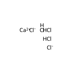 Cl.Cl.Cl.[Ca+2].[Cl-].[Cl-]